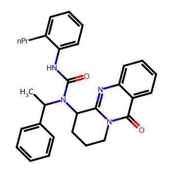 CCCc1ccccc1NC(=O)N(C(C)c1ccccc1)C1CCCn2c1nc1ccccc1c2=O